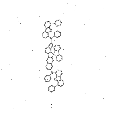 c1ccc(-c2cccc3c2oc2c(N(c4ccccc4)c4ccc5cc6c(cc5c4)C4(c5ccccc5-c5ccccc54)c4c-6ccc5cc(N(c6ccccc6)c6cccc7c6oc6c(-c8ccccc8)cccc67)ccc45)cccc23)cc1